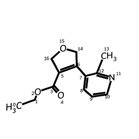 CCOC(=O)C1=C(c2cccnc2C)COC1